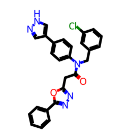 O=C(Cc1nnc(-c2ccccc2)o1)N(Cc1cccc(Cl)c1)c1ccc(-c2cn[nH]c2)cc1